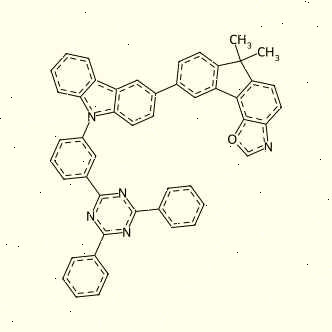 CC1(C)c2ccc(-c3ccc4c(c3)c3ccccc3n4-c3cccc(-c4nc(-c5ccccc5)nc(-c5ccccc5)n4)c3)cc2-c2c1ccc1ncoc21